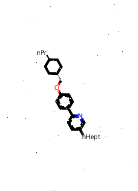 CCCCCCCc1ccc(-c2ccc(OC[C@H]3CC[C@H](CCC)CC3)cc2)nc1